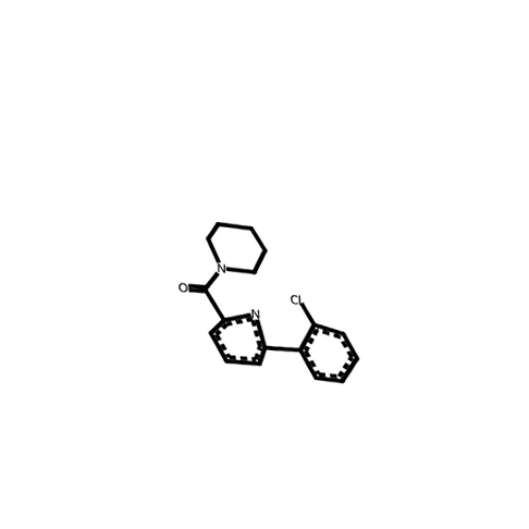 O=C(c1cccc(-c2ccccc2Cl)n1)N1CCCCC1